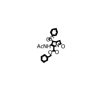 CC(=O)NC1=C(C(=O)OCc2ccccc2)N2C(=O)CC2C1[S+]([O-])c1ccccc1